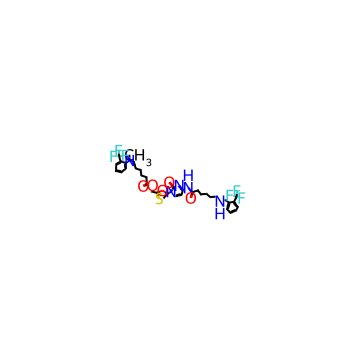 CN(CCCCCC(=O)OCC1OC(n2ccc(NC(=O)CCCCCNCc3ccccc3C(F)(F)F)nc2=O)CS1)c1ccccc1C(F)(F)F